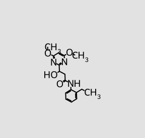 CCc1ccccc1NC(=O)CC(O)c1nc(OC)cc(OC)n1